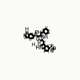 Cc1[nH]c2ccc(S(=O)(=O)F)cc2c1CC(=O)NC(Cc1ccccc1)C(=O)N(C)c1ccc2cn[nH]c2c1